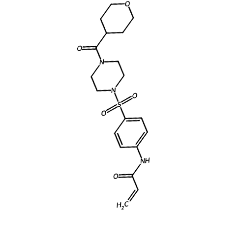 C=CC(=O)Nc1ccc(S(=O)(=O)N2CCN(C(=O)C3CCOCC3)CC2)cc1